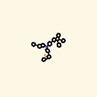 c1ccc(-c2ccc3cc(N(c4ccc(-c5ccc6c(c5)c(-c5ccccc5)c(-c5ccccc5)c5ccccc56)cc4)c4ccc(-c5cccc6c5sc5ccccc56)cc4)ccc3c2)cc1